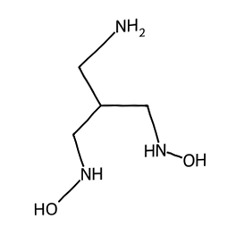 NCC(CNO)CNO